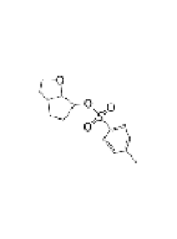 Cc1ccc(S(=O)(=O)OC2CCC3CCOC32)cc1